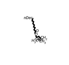 [CH2]C(CC(COCC(=O)CCCCCCCCCCCCCCCCCC)OC)N(C)C